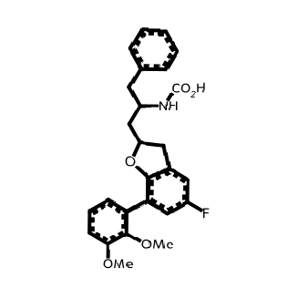 COc1cccc(-c2cc(F)cc3c2OC(CC(Cc2ccccc2)NC(=O)O)C3)c1OC